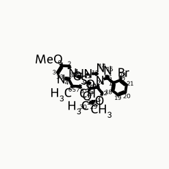 COc1cnc(C(C)C(C)S(=O)(=O)Nc2nnc(-c3ccccc3Br)n2C2COC(C)(C)OC2)nc1